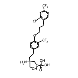 NC(CO)(CCc1ccc(OCCCc2ccc(C(F)(F)F)cc2Cl)c(C(F)(F)F)c1)COP(=O)(O)O